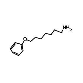 N[CH]CCCCCCOc1ccccc1